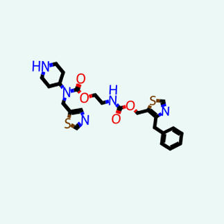 O=C(NCCOC(=O)N(Cc1cncs1)C1CCNCC1)OCc1scnc1Cc1ccccc1